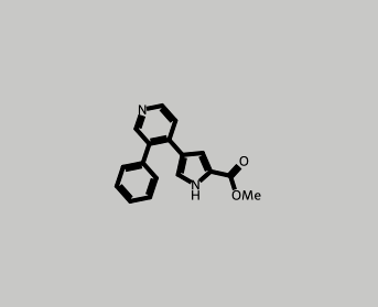 COC(=O)c1cc(-c2ccncc2-c2ccccc2)c[nH]1